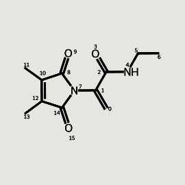 C=C(C(=O)NCC)N1C(=O)C(C)=C(C)C1=O